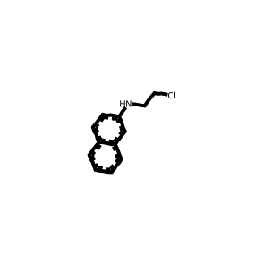 ClCCNc1ccc2ccccc2c1